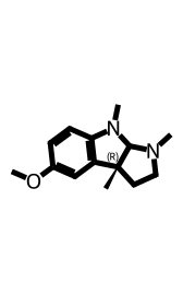 COc1ccc2c(c1)[C@@]1(C)CCN(C)C1N2C